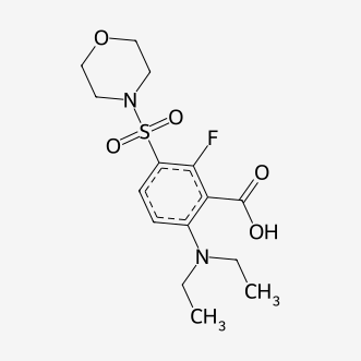 CCN(CC)c1ccc(S(=O)(=O)N2CCOCC2)c(F)c1C(=O)O